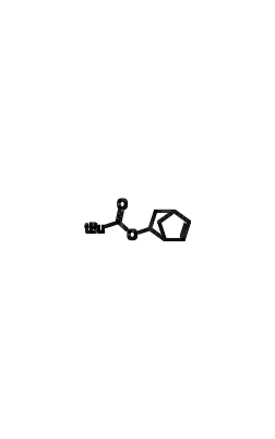 CC(C)(C)C(=O)OC1CC2C=CC1C2